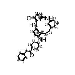 O=C(Cc1ccccc1)N1CCC(Nc2ccc3cc2CCc2cncc(c2)Nc2ncc(Cl)c(n2)N3)CC1